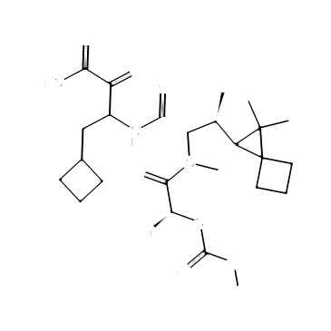 C[C@@H]1[C@@H](C(=O)NC(CC2CCC2)C(=O)C(N)=O)N(C(=O)[C@@H](NC(=O)OC(C)(C)C)C(C)(C)C)C[C@@]12C(C)(C)C21CCC1